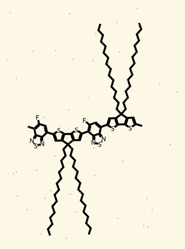 CCCCCCCCCCCCCCCCC1(CCCCCCCCCCCCCCCC)c2cc(C)sc2-c2sc(-c3cc(F)c(-c4cc5c(s4)-c4sc(-c6cc(F)c(C)c7nsnc67)cc4C5(CCCCCCCCCCCCCCCC)CCCCCCCCCCCCCCCC)c4nsnc34)cc21